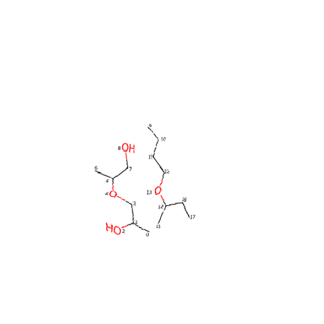 CC(O)COC(C)CO.CCCCOC(C)CC